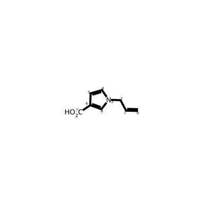 C=CCn1ccc(C(=O)O)c1